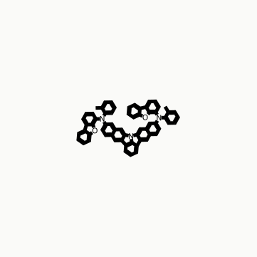 Cc1ccccc1N(c1ccc2cc3c4cccc5c6cc7ccc(N(c8ccccc8C)c8cccc9c8oc8ccccc89)cc7cc6n(c3cc2c1)c45)c1cccc2c1oc1ccccc12